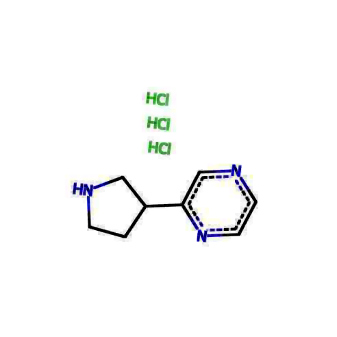 Cl.Cl.Cl.c1cnc(C2CCNC2)cn1